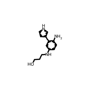 Nc1ccc(NCCCO)cc1-c1cc[nH]c1